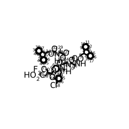 C[C@H](NC(=O)OCC1c2ccccc2-c2ccccc21)C(=O)N[C@@H](COC(=O)[C@H](C)NC(=O)OCC1c2ccccc2-c2ccccc21)C(=O)N(C)[C@@]1(Cc2ccc(Cl)cc2)CCCN(C(=O)[C@@H](CC(=O)O)CC(F)(F)F)C1